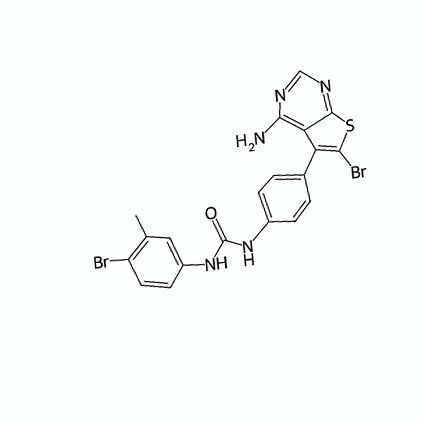 Cc1cc(NC(=O)Nc2ccc(-c3c(Br)sc4ncnc(N)c34)cc2)ccc1Br